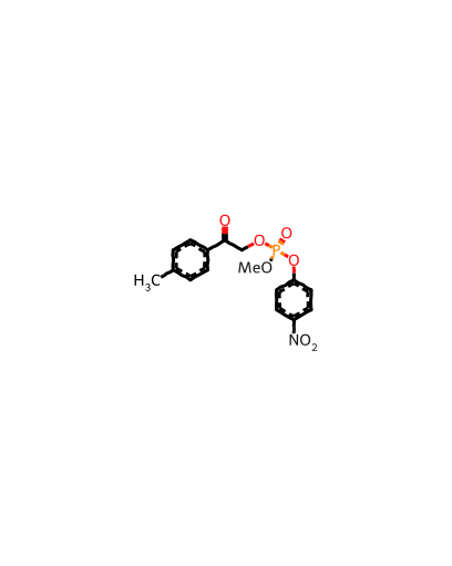 COP(=O)(OCC(=O)c1ccc(C)cc1)Oc1ccc([N+](=O)[O-])cc1